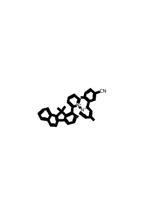 Cc1cc[n+](-[n+]2ccccc2-c2c(C)ccc3c2C(C)(C)c2c-3ccc3ccccc23)c(-c2cc(C#N)ccc2C)c1